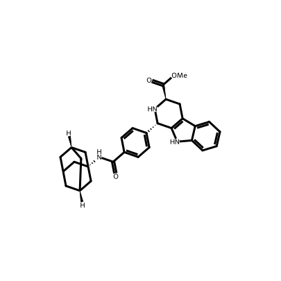 COC(=O)[C@H]1Cc2c([nH]c3ccccc23)[C@H](c2ccc(C(=O)N[C@]34CC5C[C@H](C[C@H](C5)C3)C4)cc2)N1